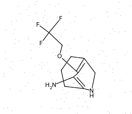 NC1=C2CCCC(=C1OCC(F)(F)F)CN2